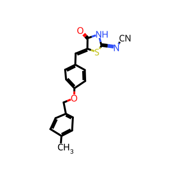 Cc1ccc(COc2ccc(/C=C3\S/C(=N/C#N)NC3=O)cc2)cc1